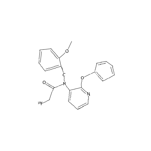 COc1ccccc1CN(C(=O)C[18F])c1cccnc1Oc1ccccc1